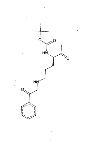 CC(=O)[C@@H](CCCNCC(=O)c1ccccc1)NC(=O)OC(C)(C)C